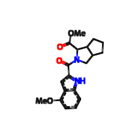 COC(=O)C1C2CCCC2CN1C(=O)c1cc2c(OC)cccc2[nH]1